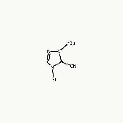 CCCCN1N=CN(CC)C1C#N